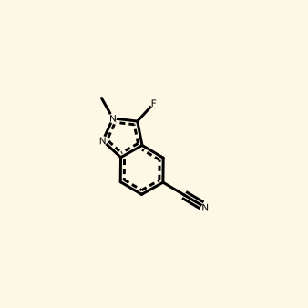 Cn1nc2ccc(C#N)cc2c1F